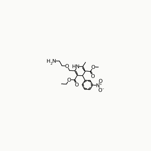 CCOC(=O)C1=C(COCCN)NC(C)=C(C(=O)OC)C1c1cccc([N+](=O)[O-])c1